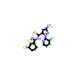 O=C(Nc1nsc2c(Cl)cccc12)c1cc(C(F)(F)F)nn1-c1ncccc1Cl